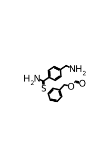 NCc1ccc(C(N)=S)cc1.O=COCc1ccccc1